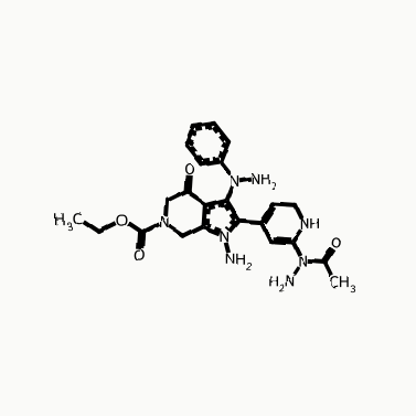 CCOC(=O)N1CC(=O)c2c(N(N)c3ccccc3)c(C3=CCNC(N(N)C(C)=O)=C3)n(N)c2C1